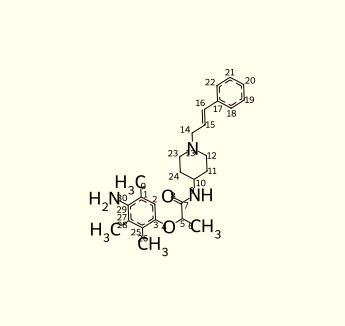 Cc1cc(OC(C)C(=O)NC2CCN(C/C=C/c3ccccc3)CC2)c(C)c(C)c1N